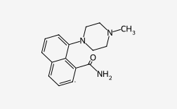 CN1CCN(c2cccc3cc[c]c(C(N)=O)c23)CC1